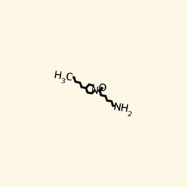 CCCCCC1CCN(C(=O)CCCCCN)CC1